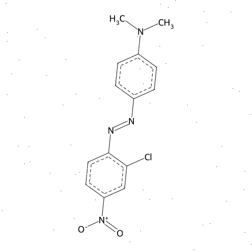 CN(C)c1ccc(N=Nc2ccc([N+](=O)[O-])cc2Cl)cc1